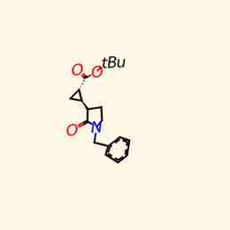 CC(C)(C)OC(=O)[C@H]1C[C@@H]1C1CCN(Cc2ccccc2)C1=O